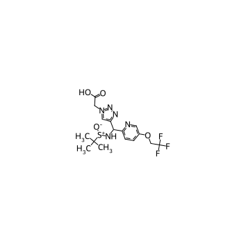 CC(C)(C)[S@+]([O-])NC(c1ccc(OCC(F)(F)F)cn1)c1cn(CC(=O)O)nn1